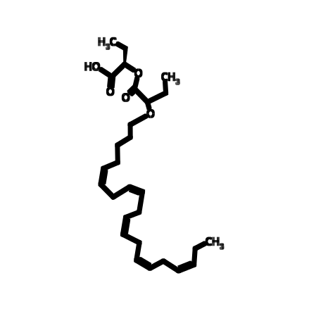 CC/C=C\C/C=C\C/C=C\C/C=C\C/C=C\CCCCOC(CC)C(=O)O[C@H](CC)C(=O)O